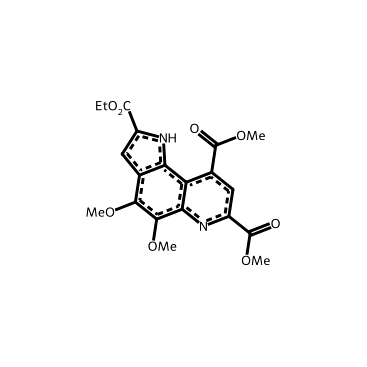 CCOC(=O)c1cc2c(OC)c(OC)c3nc(C(=O)OC)cc(C(=O)OC)c3c2[nH]1